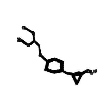 CCOC(COc1ccc(C2=C(C(=O)O)C2)cc1)OCC